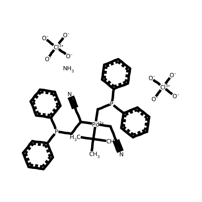 C[C](C)(C)[Pd+2]([CH2]C#N)([CH2]P(c1ccccc1)c1ccccc1)[CH](C#N)CP(c1ccccc1)c1ccccc1.N.[O-][Cl+3]([O-])([O-])[O-].[O-][Cl+3]([O-])([O-])[O-]